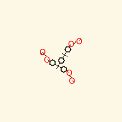 COCCOc1ccc(C(C)(C)c2ccc(C(C)(c3ccc(OCCOC)cc3)c3ccc(OCC4CO4)cc3)cc2)cc1